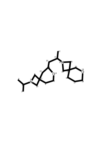 CC(C)N1CC2(CCOC(CC(C)N3CC4(CCCOC4)C3)C2)C1